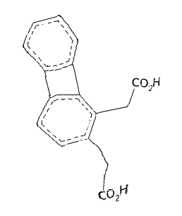 O=C(O)Cc1ccc2c(c1CC(=O)O)-c1ccccc1-2